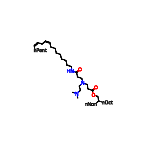 CCCCC/C=C\C/C=C\CCCCCCCCNC(=O)CCN(CCC(=O)OCC(CCCCCCCC)CCCCCCCCC)CCN(C)C